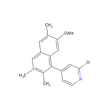 COc1cc2c(-c3ccnc(Br)c3)c(C)c(C)cc2cc1C